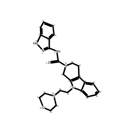 O=C(Nc1n[nH]c2ccccc12)N1CCc2c(n(CCN3CCOCC3)c3ccccc23)C1